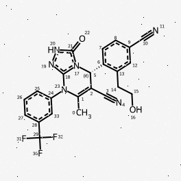 CC1=C(C#N)[C@@H](c2ccc(C#N)cc2CCO)n2c(n[nH]c2=O)N1c1cccc(C(F)(F)F)c1